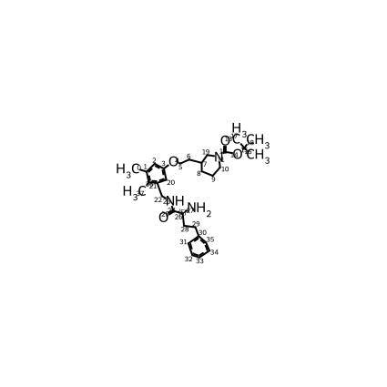 Cc1cc(OCCC2CCCN(C(=O)OC(C)(C)C)C2)cc(CNC(=O)[C@@H](N)CCc2ccccc2)c1C